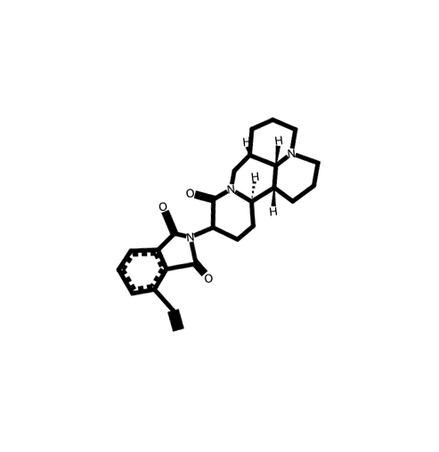 C#Cc1cccc2c1C(=O)N(C1CC[C@@H]3[C@H]4CCCN5CCC[C@@H](CN3C1=O)[C@@H]45)C2=O